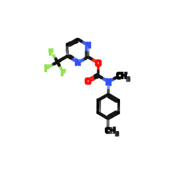 Cc1ccc(N(C)C(=O)Oc2nccc(C(F)(F)F)n2)cc1